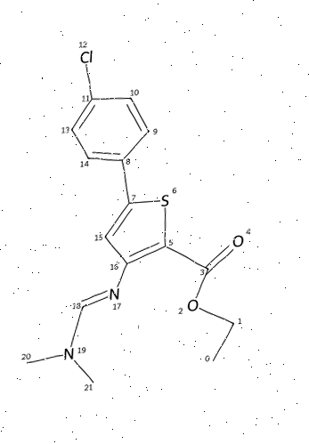 CCOC(=O)c1sc(-c2ccc(Cl)cc2)cc1N=CN(C)C